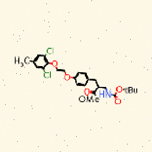 COC(=O)C(CNC(=O)OC(C)(C)C)Cc1ccc(OCCOc2c(Cl)cc(C)cc2Cl)cc1